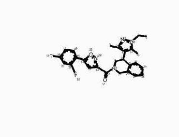 CCn1nc(C)c(C2CN(C(=O)c3cc(-c4ccc(F)cc4F)on3)Cc3ccccc32)c1C